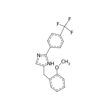 COc1ccccc1Cc1cnc(-c2ccc(C(F)(F)F)cc2)[nH]1